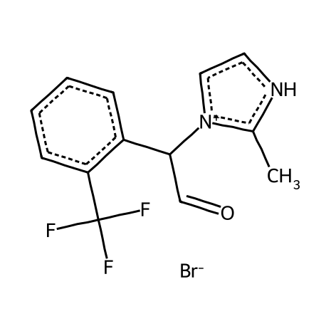 Cc1[nH]cc[n+]1C(C=O)c1ccccc1C(F)(F)F.[Br-]